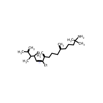 C=C(CCCC(=C)/C(=C\C(C)C(C)C(=C)C)CC)CCCC(C)(C)N